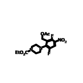 CCOC(=O)N1CCN(c2c(F)cc([N+](=O)[O-])c(F)c2COC(C)=O)CC1